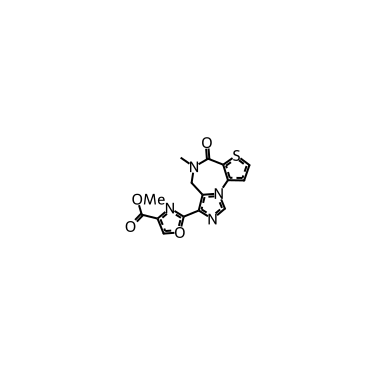 COC(=O)c1coc(-c2ncn3c2CN(C)C(=O)c2sccc2-3)n1